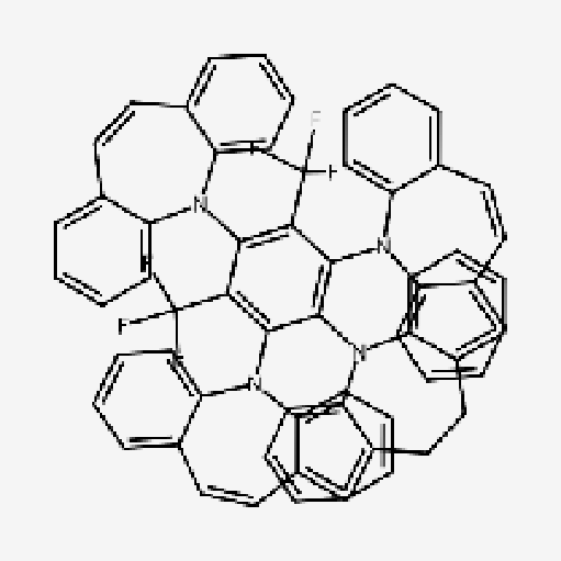 FC(F)(F)c1c(N2c3ccccc3C=Cc3ccccc32)c(N2c3ccccc3CCc3ccccc32)c(N2c3ccccc3C=Cc3ccccc32)c(C(F)(F)F)c1N1c2ccccc2C=Cc2ccccc21